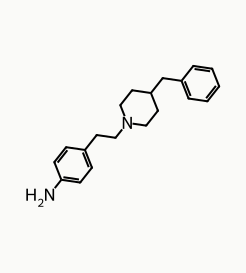 Nc1ccc(CCN2CCC(Cc3ccccc3)CC2)cc1